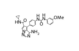 COc1cccc(NC(=O)Nc2ccc(-c3c(C(=O)NC4CC4)cn4ncnc(N)c34)cc2)c1